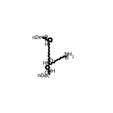 CCCCCCCCCCCC(=O)NC1CCCC(C(CCCCCCCCCCC(N)=O)NC(=O)CCCCCCCCCCCC2CCCCC2NC(=O)CCCCCCCCCCC)C1